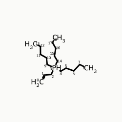 C=CC[PH](CCCCC)(CCCCC)CCCCC